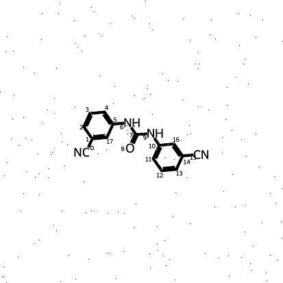 N#Cc1cccc(NC(=O)Nc2cccc(C#N)c2)c1